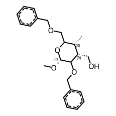 CO[C@@H]1OC(COCc2ccccc2)[C@H](C)[C@H](CO)C1OCc1ccccc1